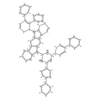 C1=Cc2c(n(C3CC=CC(c4ccccc4)=C3c3ccccc3)c3cc4c5ccccc5n(C5NC(c6ccc(-c7ccccc7)cc6)=NC(C6C=CC(c7ccccc7)=CC6)N5)c4cc23)CC1